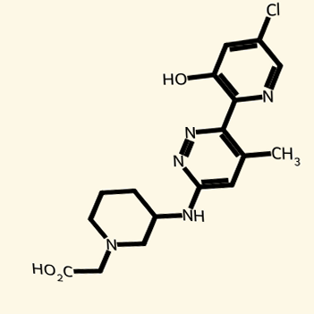 Cc1cc(NC2CCCN(CC(=O)O)C2)nnc1-c1ncc(Cl)cc1O